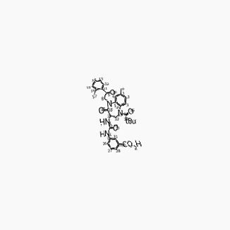 Cc1ccc2c(c1)N(CC(=O)c1ccccc1C)C(=O)C(NC(=O)Nc1cccc(C(=O)O)c1)CN2C(=O)C(C)(C)C